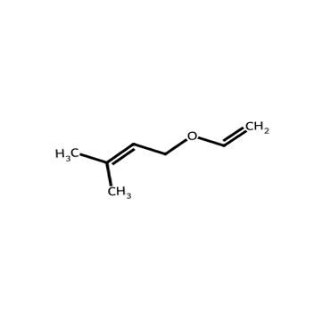 C=COCC=C(C)C